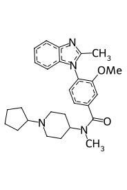 COc1cc(C(=O)N(C)C2CCN(C3CCCC3)CC2)ccc1-n1c(C)nc2ccccc21